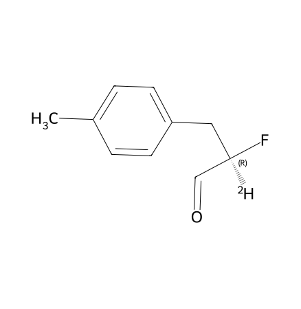 [2H][C@](F)(C=O)Cc1ccc(C)cc1